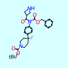 CC(C)(C)OC(=O)N1CCC(F)(c2ccc(N(C(=O)OCc3ccccc3)C(=O)C3CNC3)cc2)CC1